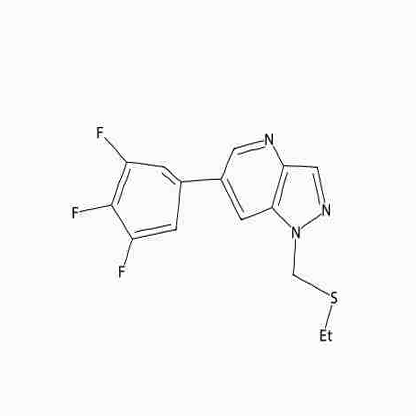 CCSCn1ncc2ncc(-c3cc(F)c(F)c(F)c3)cc21